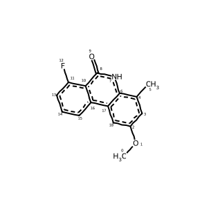 COc1cc(C)c2[nH]c(=O)c3c(F)cccc3c2c1